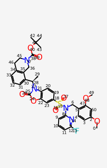 COc1ccc(CN(c2cccc(F)n2)S(=O)(=O)c2ccc3c(c2)oc(=O)n3[C@H](C)c2cccc3c2CN(C(=O)OC(C)(C)C)CC3)c(OC)c1